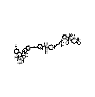 O=C1CCC(N2C(=O)c3cccc(NCCCCN4CCC(NC(=O)c5ccc(C#Cc6ccc7c(c6)C(=O)N(C(C(=O)Nc6nccs6)c6cc(F)ccc6O)C7)cn5)CC4)c3C2=O)C(=O)N1